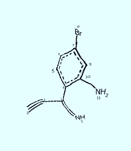 C#CC(=N)c1ccc(Br)cc1N